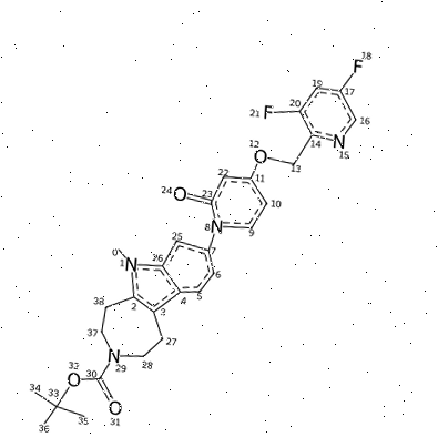 Cn1c2c(c3ccc(-n4ccc(OCc5ncc(F)cc5F)cc4=O)cc31)CCN(C(=O)OC(C)(C)C)CC2